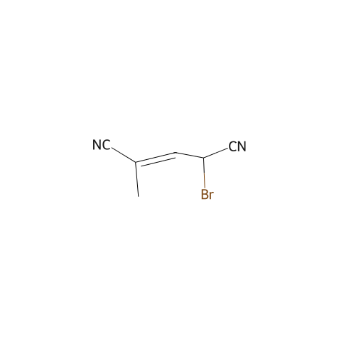 CC(C#N)=CC(Br)C#N